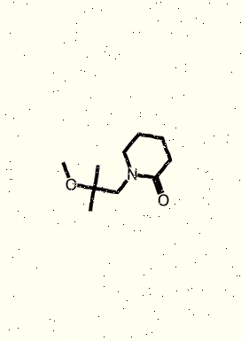 COC(C)(C)CN1CCCCC1=O